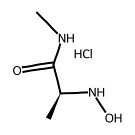 CNC(=O)[C@H](C)NO.Cl